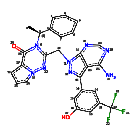 C[C@@H](c1ccccc1)n1c(Cn2nc(-c3cc(O)cc(C(F)(F)F)c3)c3c(N)ncnc32)nn2cccc2c1=O